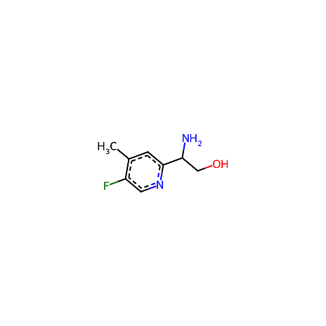 Cc1cc(C(N)CO)ncc1F